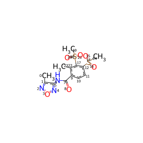 Cc1nonc1NC(=O)c1ccc(S(C)(=O)=O)c(S(C)(=O)=O)c1C